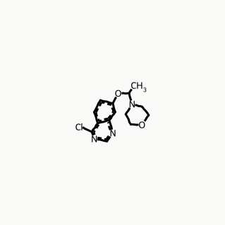 CC(Oc1ccc2c(Cl)ncnc2c1)N1CCOCC1